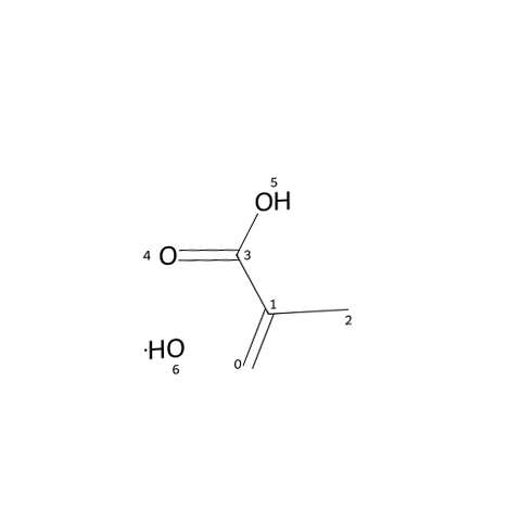 C=C(C)C(=O)O.[OH]